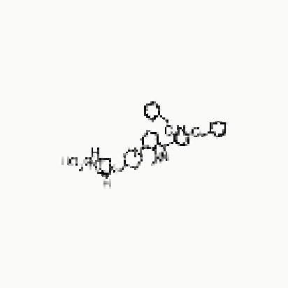 Cn1nc(-c2ccc(OCc3ccccc3)nc2OCc2ccccc2)c2cccc(N3CCC(CN4C[C@@H]5C[C@H]4CN5C(=O)O)CC3)c21